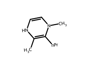 CCCC1=C(C)NC=CN1C